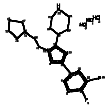 Cl.Cl.Cl.Fc1ccc(-c2cn(CCN3CCCC3)c(C3CCNCC3)n2)cc1F